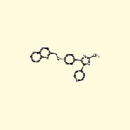 Cc1nc(-c2ccc(OCc3ccc4ccccc4n3)cc2)c(-c2ccncc2)o1